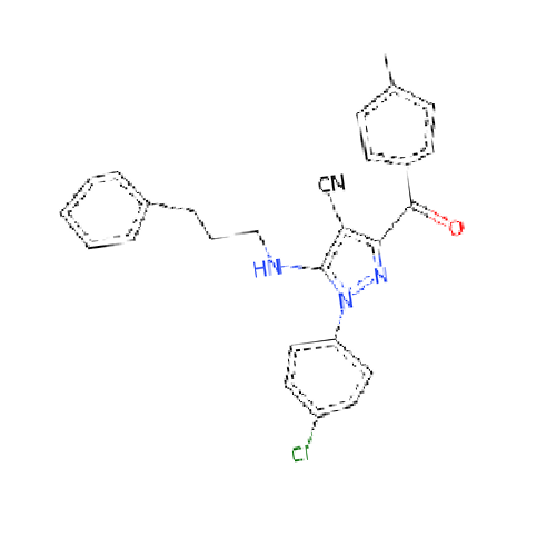 Cc1ccc(C(=O)c2nn(-c3ccc(Cl)cc3)c(NCCCc3ccccc3)c2C#N)cc1